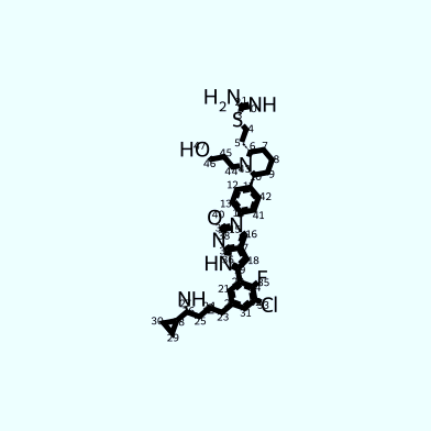 N=C(N)SCC[C@@H]1CCC[C@@H](c2ccc(-n3cc4cc(-c5cc(CCC[C@@H](N)C6CC6)cc(Cl)c5F)[nH]c4nc3=O)cc2)N1CCCO